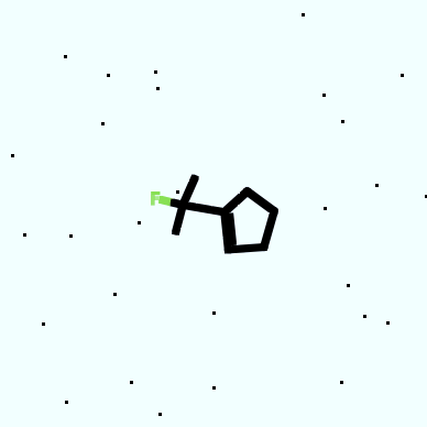 CC(C)(F)C1=CCCC1